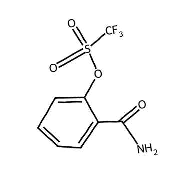 NC(=O)c1ccccc1OS(=O)(=O)C(F)(F)F